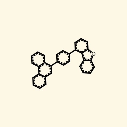 c1ccc2c(c1)cc(-c1ccc(-c3cccc4oc5ccccc5c34)cc1)c1ccccc12